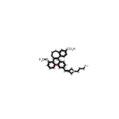 O=C(O)c1ccc2c(c1)CCCC(c1c(F)cccc1OC(F)(F)F)=C2c1ccc(C=C2CN(CCCF)C2)cc1